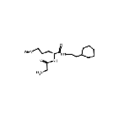 CNCCC[C@H](NC(=O)CN)C(=O)NCCC1CCCCC1